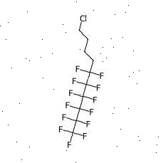 FC(F)(F)C(F)(F)C(F)(F)C(F)(F)C(F)(F)C(F)(F)CCCCCl